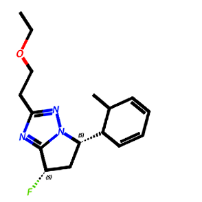 CCOCCc1nc2n(n1)[C@H](C1C=CC=CC1C)C[C@@H]2F